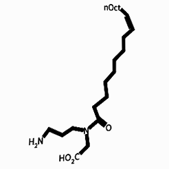 CCCCCCCC/C=C\CCCCCCCC(=O)N(CCCN)CC(=O)O